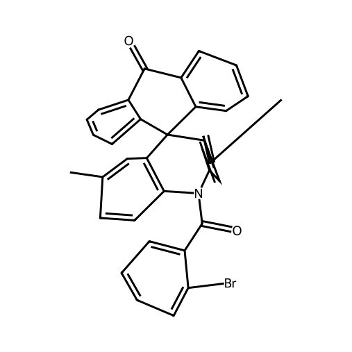 Cc1ccc2c(c1)C1(c3ccccc3C(=O)c3ccccc31)c1cc(C)ccc1N2C(=O)c1ccccc1Br